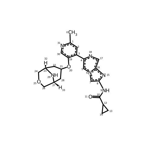 Cc1cc(-c2cn3cc(NC(=O)C4CC4)nc3cn2)c(OC2C[C@H]3COC[C@@H](C2)N3)cn1